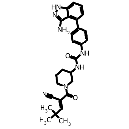 CC(C)(C)C=C(C#N)C(=O)N1CCCC(NC(=O)Nc2ccc(-c3cccc4[nH]nc(N)c34)cc2)C1